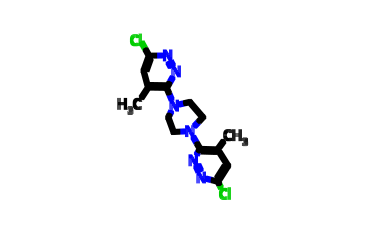 Cc1cc(Cl)nnc1N1CCN(c2nnc(Cl)cc2C)CC1